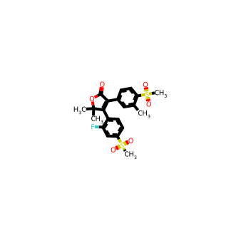 Cc1cc(C2=C(c3ccc(S(C)(=O)=O)cc3F)C(C)(C)OC2=O)ccc1S(C)(=O)=O